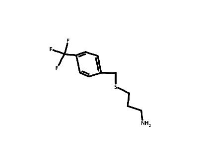 NCCCSCc1ccc(C(F)(F)F)cc1